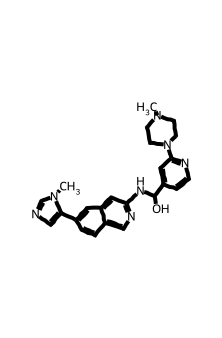 CN1CCN(c2cc(C(O)Nc3cc4cc(-c5cncn5C)ccc4cn3)ccn2)CC1